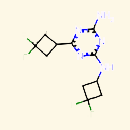 Nc1nc(NC2CC(F)(F)C2)nc(C2CC(F)(F)C2)n1